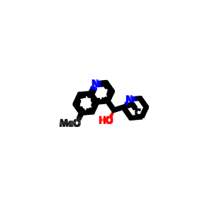 COc1ccc2nccc([C@@H](O)C3CC4CCN3CC4)c2c1